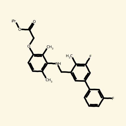 Cc1ccc(OCC(=O)OC(C)C)c(C)c1NCc1cc(-c2cccc(F)c2)cc(F)c1C